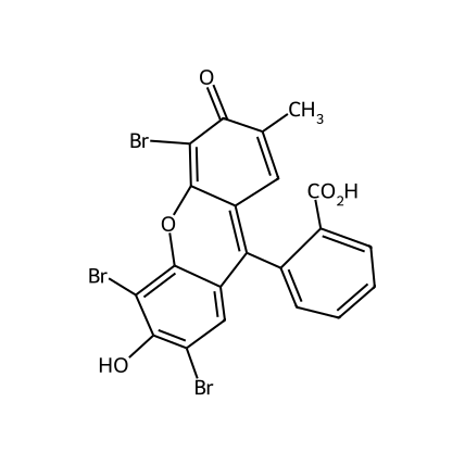 Cc1cc2c(-c3ccccc3C(=O)O)c3cc(Br)c(O)c(Br)c3oc-2c(Br)c1=O